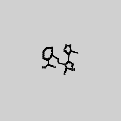 Cc1nnsc1-c1n[nH]c(=S)n1CCc1ccccc1C(=O)O